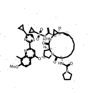 C=C(NS(=O)(=O)C1CC1)[C@@]12C[C@H]1/C=C\CCCCC[C@H](NC(=O)N1CCCC1)C(=O)N1C[C@H](Oc3cc(-c4nc(C5CC5)cs4)nc4c(C)c(OC)ccc34)C[C@H]1C(=O)N2